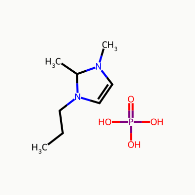 CCCN1C=CN(C)C1C.O=P(O)(O)O